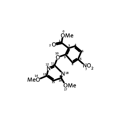 COC(=O)c1ccc([N+](=O)[O-])cc1Oc1nc(OC)cc(OC)n1